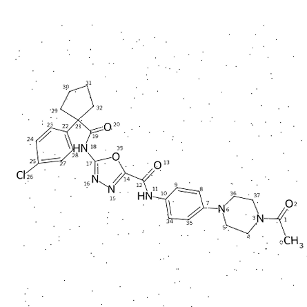 CC(=O)N1CCN(c2ccc(NC(=O)c3nnc(NC(=O)C4(c5ccc(Cl)cc5)CCCC4)o3)cc2)CC1